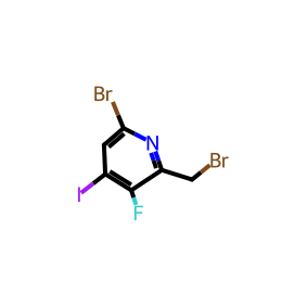 Fc1c(I)cc(Br)nc1CBr